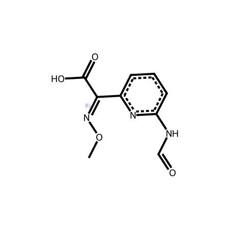 CO/N=C(/C(=O)O)c1cccc(NC=O)n1